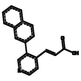 O=C(O)C=Cc1ccncc1-c1ccc2ccccc2c1